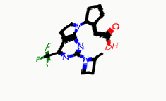 CC1CCN1c1nc2c(c(C(F)(F)F)n1)CCN2C1CCCC1CC(=O)O